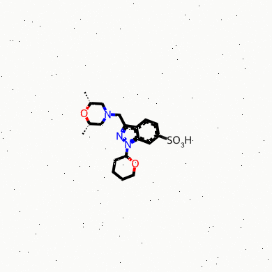 C[C@@H]1CN(Cc2nn(C3CCCCO3)c3cc(S(=O)(=O)O)ccc23)C[C@H](C)O1